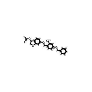 CC(=O)OC1COc2cc(OCc3ccc(OCc4ccccc4)cc3Cl)ccc21